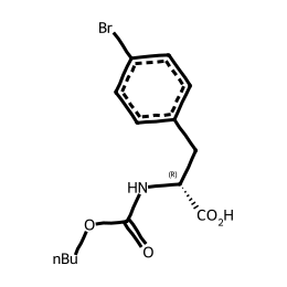 CCCCOC(=O)N[C@H](Cc1ccc(Br)cc1)C(=O)O